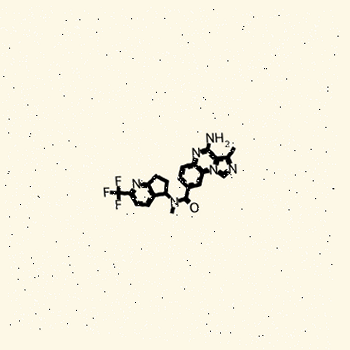 Cc1ncn2c1c(N)nc1ccc(C(=O)N(C)C3CCc4nc(C(F)(F)F)ccc43)cc12